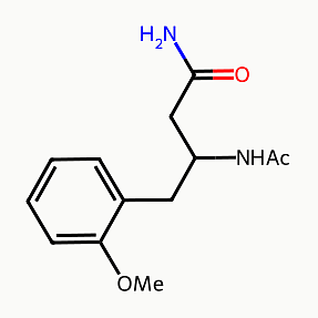 COc1ccccc1CC(CC(N)=O)NC(C)=O